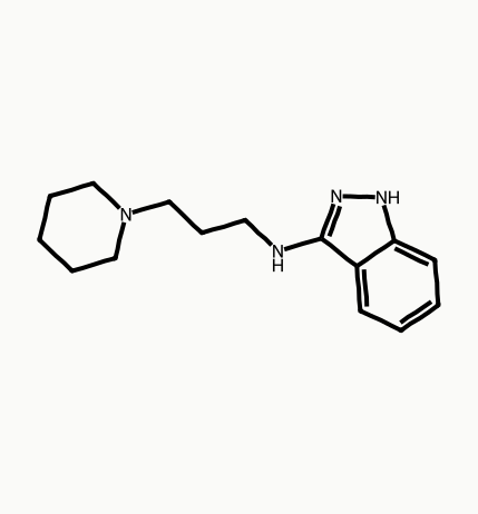 c1ccc2c(NCCCN3CCCCC3)n[nH]c2c1